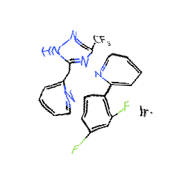 FC(F)(F)c1n[nH]c(-c2ccccn2)n1.Fc1ccc(-c2ccccn2)c(F)c1.[Ir]